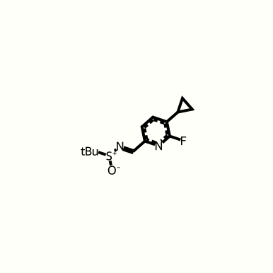 CC(C)(C)[S+]([O-])N=Cc1ccc(C2CC2)c(F)n1